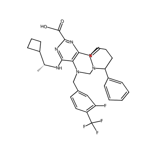 C=Nc1nc(C(=O)O)nc(N[C@H](C)C2CCC2)c1N(Cc1ccc(C(F)(F)F)c(F)c1)CN1CCCCC1c1ccccc1